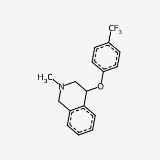 CN1Cc2ccccc2C(Oc2ccc(C(F)(F)F)cc2)C1